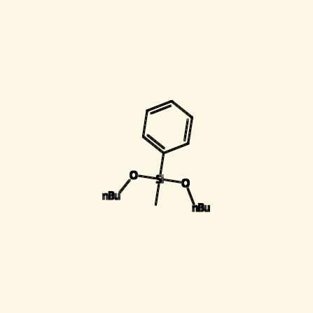 CCCCO[Si](C)(OCCCC)c1ccccc1